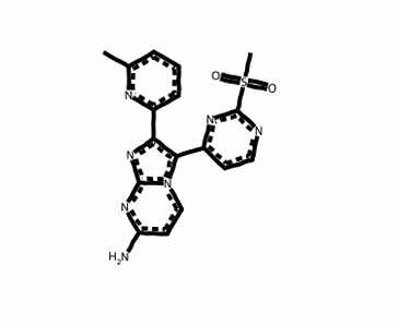 Cc1cccc(-c2nc3nc(N)ccn3c2-c2ccnc(S(C)(=O)=O)n2)n1